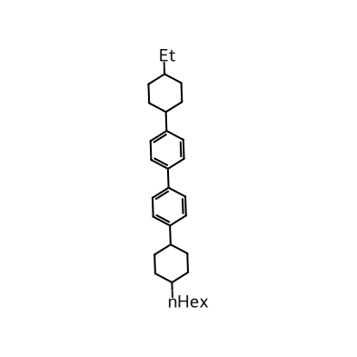 CCCCCCC1CCC(c2ccc(-c3ccc(C4CCC(CC)CC4)cc3)cc2)CC1